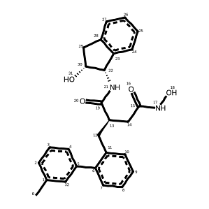 Cc1cccc(-c2ccccc2C[C@H](CC(=O)NO)C(=O)N[C@H]2c3ccccc3C[C@H]2O)c1